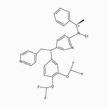 CCN(c1ccc(C(Cc2ccncc2)c2ccc(OC(F)F)c(OC(F)F)c2)cn1)[C@H](C)c1ccccc1